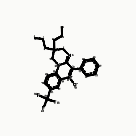 CCCC1(CCC)CN=C2C(c3ccccc3)=[N+]([O-])c3cc(C(F)(F)F)ccc3N2C1